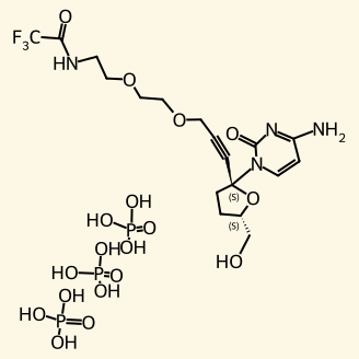 Nc1ccn([C@@]2(C#CCOCCOCCNC(=O)C(F)(F)F)CC[C@@H](CO)O2)c(=O)n1.O=P(O)(O)O.O=P(O)(O)O.O=P(O)(O)O